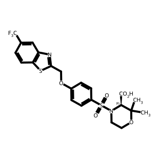 CC1(C)OCCN(S(=O)(=O)c2ccc(OCc3nc4cc(C(F)(F)F)ccc4s3)cc2)[C@H]1C(=O)O